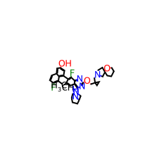 C#Cc1c(F)ccc2cc(O)cc(-c3c(C)cc4c(N5CC6CCC(C5)N6)nc(OCC5(CN6CCC7(CCCCO7)C6)CC5)nc4c3F)c12